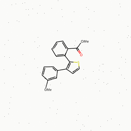 COC(=O)c1ccccc1-c1sccc1-c1cccc(OC)c1